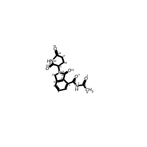 CC(=O)NC(=O)c1cccc2c1C(=O)N(C1CCC(=O)NC1=O)C2